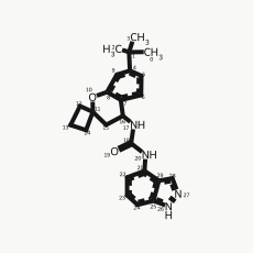 CC(C)(C)c1ccc2c(c1)OC1(CCC1)CC2NC(=O)Nc1cccc2[nH]ncc12